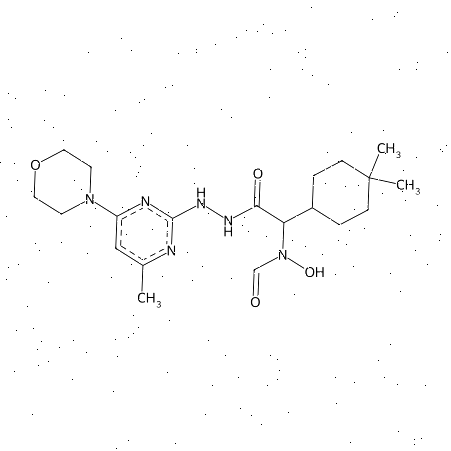 Cc1cc(N2CCOCC2)nc(NNC(=O)C(C2CCC(C)(C)CC2)N(O)C=O)n1